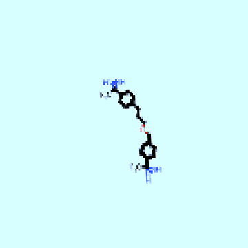 FC(F)(F)C1(c2ccc(CCCOCc3ccc(C4(C(F)(F)F)NN4)cc3)cc2)NN1